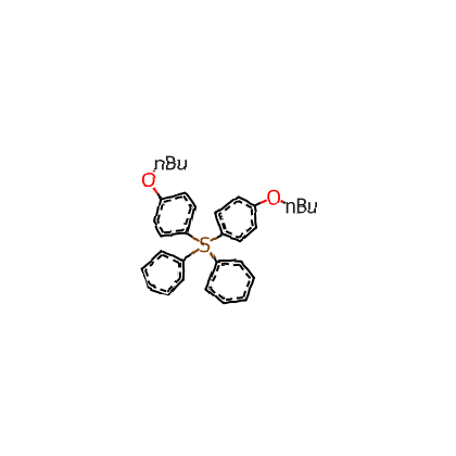 CCCCOc1ccc(S(c2ccccc2)(c2ccccc2)c2ccc(OCCCC)cc2)cc1